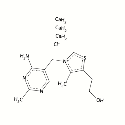 Cc1ncc(C[n+]2csc(CCO)c2C)c(N)n1.[CaH2].[CaH2].[CaH2].[Cl-]